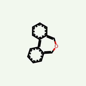 C1=c2ccccc2=c2ccccc2=CO1